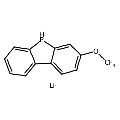 FC(F)(F)Oc1ccc2c(c1)[pH]c1ccccc12.[Li]